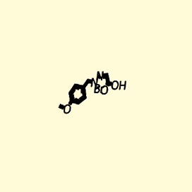 COc1ccc(CN(Br)/N=C\C(=O)O)cc1